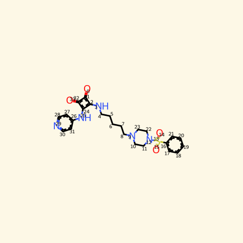 O=c1c(NCCCCCN2CCN(S(=O)(=O)c3ccccc3)CC2)c(Nc2ccncc2)c1=O